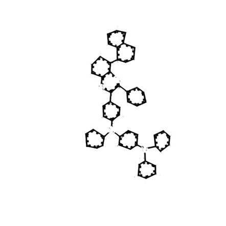 c1ccc(-c2nc3c(-c4cccc5ccccc45)cccc3nc2-c2ccc(N(c3ccccc3)c3ccc(N(c4ccccc4)c4ccccc4)cc3)cc2)cc1